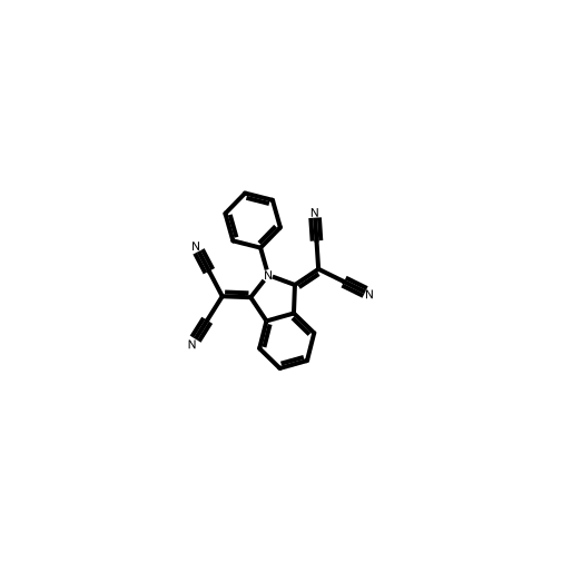 N#CC(C#N)=c1c2ccccc2c(=C(C#N)C#N)n1-c1ccccc1